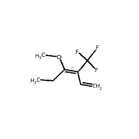 C=C/C(=C(\CC)OC)C(F)(F)F